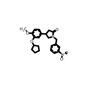 COc1ccc(C2CC(=O)N(Cc3cccc([N+](=O)[O-])c3)C2)cc1OC1CCCC1